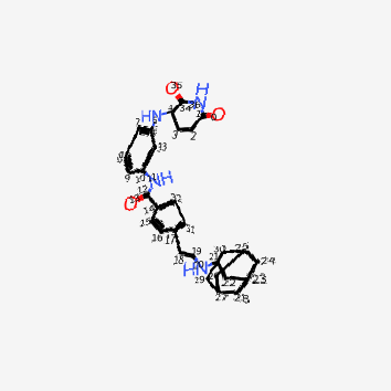 O=C1CCC(Nc2cccc(NC(=O)c3ccc(CCNC45CC6CC(CC(C6)C4)C5)cc3)c2)C(=O)N1